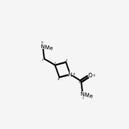 CNCC1CN(C(=O)NC)C1